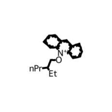 CCCC(CC)CO[n+]1c2ccccc2cc2ccccc21